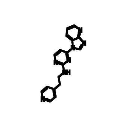 c1cnc2ncn(-c3ccnc(NCCc4ccncc4)n3)c2c1